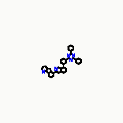 c1ccc(-c2nc(-c3ccccc3)nc(-c3cccc(-c4cccc5cc(-c6cccc7c6Cc6cccnc6-7)ncc45)c3)n2)cc1